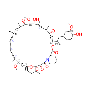 CO[C@H]1C[C@@H]2CCC(C)C(O)(O2)C(=O)C(=O)N2CCCCC2C(=O)O[C@H]([C@H](C)CC2CCC(O)[C@H](OC)C2)CC(=O)C(C)/C=C(\C)C(O)[C@@H](OC)C(=O)C(C)C[C@H](C)/C=C/C=C/C=C/1C